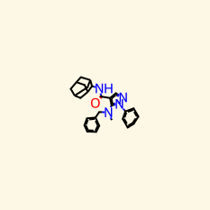 CN(Cc1ccccc1)c1c(C(=O)NC2C3CC4CC(C3)CC2C4)cnn1-c1ccccc1